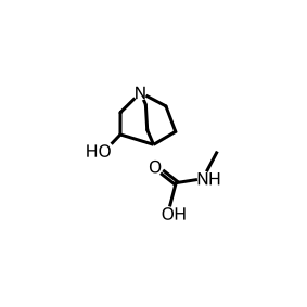 CNC(=O)O.OC1CN2CCC1CC2